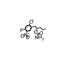 CCCC(Cc1cc([N+](=O)[O-])c(F)cc1Cl)OC(N)=O